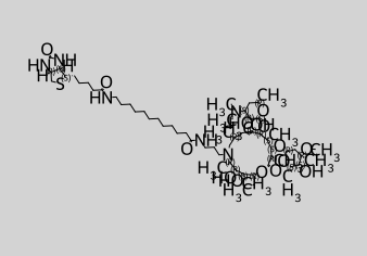 CC[C@H]1OC(=O)[C@H](C)[C@@H](O[C@H]2C[C@@](C)(OC)[C@@H](O)[C@H](C)O2)[C@H](C)[C@@H](O[C@@H]2O[C@H](C)C[C@H](N(C)C)[C@H]2O)[C@](C)(O)C[C@@H](C)CN(CCCNC(=O)CCCCCCCCCCCNC(=O)CCCC[C@@H]2SC[C@@H]3NC(=O)N[C@@H]32)[C@H](C)[C@@H](O)[C@]1(C)O